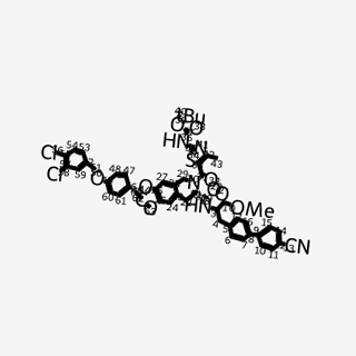 COC(=O)C(Cc1ccc(-c2ccc(C#N)cc2)cc1)NC(=O)[C@@H]1Cc2cc3c(cc2CN1C(=O)c1sc(NC(=O)OC(C)(C)C)nc1C)O[C@@H](c1ccc(OCc2ccc(Cl)c(Cl)c2)cc1)CO3